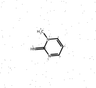 Cn1cccnc1=N